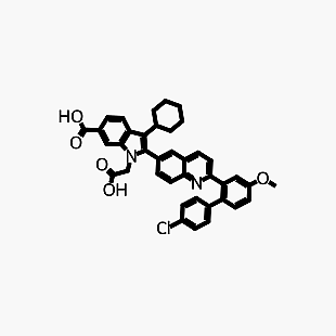 COc1ccc(-c2ccc(Cl)cc2)c(-c2ccc3cc(-c4c(C5CCCCC5)c5ccc(C(=O)O)cc5n4CC(=O)O)ccc3n2)c1